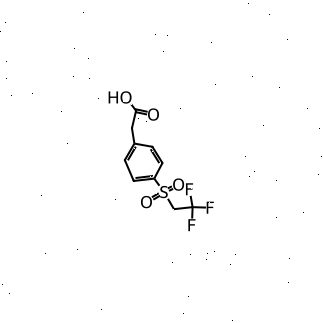 O=C(O)Cc1ccc(S(=O)(=O)CC(F)(F)F)cc1